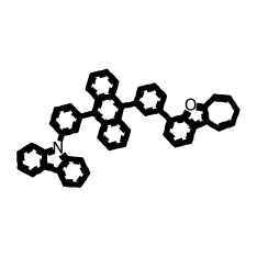 C1=Cc2oc3c(-c4cccc(-c5c6ccccc6c(-c6cccc(-n7c8ccccc8c8ccccc87)c6)c6ccccc56)c4)cccc3c2C=CC1